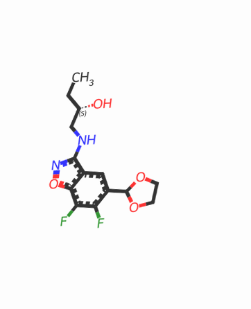 CC[C@H](O)CNc1noc2c(F)c(F)c(C3OCCO3)cc12